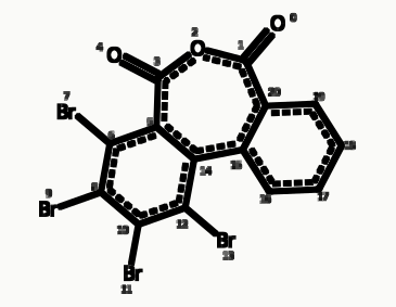 O=c1oc(=O)c2c(Br)c(Br)c(Br)c(Br)c2c2ccccc12